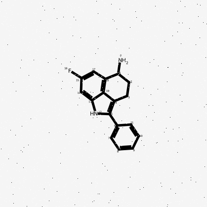 NC1CCc2c(-c3ccccc3)[nH]c3cc(F)cc1c23